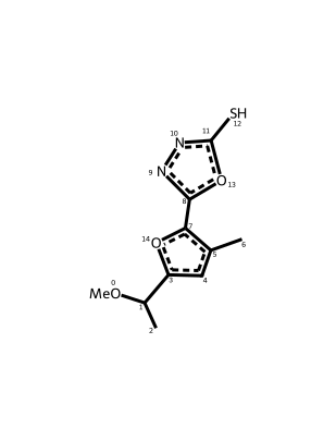 COC(C)c1cc(C)c(-c2nnc(S)o2)o1